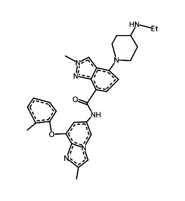 CCNC1CCN(c2ccc(C(=O)Nc3cc(Oc4ccccc4C)c4nc(C)cn4c3)c3nn(C)cc23)CC1